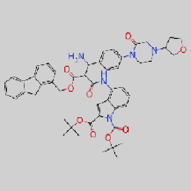 CC(C)(C)OC(=O)c1cc2c(NC(=O)C(C(=O)OCc3cccc4c3Cc3ccccc3-4)C(N)c3ccc(N4CCN(C5CCOC5)CC4=O)cc3)cccc2n1C(=O)OC(C)(C)C